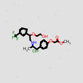 COC(=O)COc1ccc(CC(C)NCC(OCCO)c2cccc(C(F)(F)F)c2)cc1.Cl